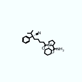 CC(C)[C@@](C#N)(CCCCC(=O)[N@@+]1(C2CCCCC2)CCCC1C(N)=O)c1ccccc1